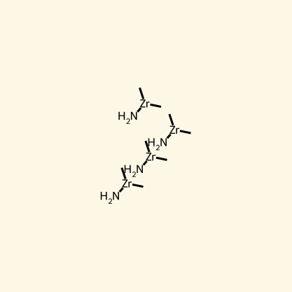 [CH3][Zr]([CH3])[NH2].[CH3][Zr]([CH3])[NH2].[CH3][Zr]([CH3])[NH2].[CH3][Zr]([CH3])[NH2]